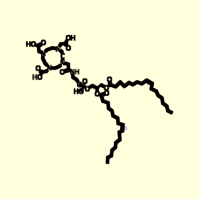 CCCCCCCC/C=C\CCCCCCCC(=O)OC[C@H](COP(=O)(O)OCCNC(=O)CN1CCN(CC(=O)O)CCN(CC(=O)O)CCN(CC(=O)O)CC1)OC(=O)CCCCCCC/C=C\CCCCCCCC